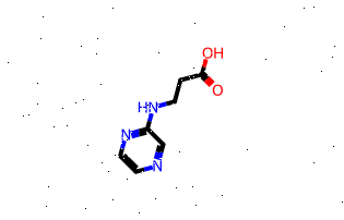 O=C(O)CCNc1cnccn1